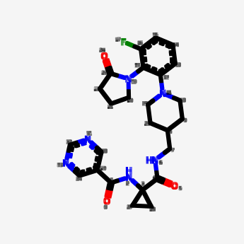 O=C(NC1(C(=O)NCC2CCN(c3cccc(F)c3N3CCCC3=O)CC2)CC1)c1cncnc1